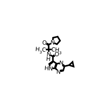 CC(C)(NC(=O)c1c[nH]c2ncc(C3CC3)nc12)C(=O)N1CCCC1